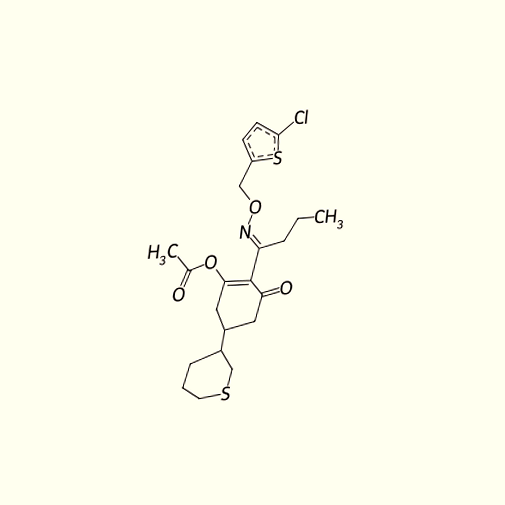 CCCC(=NOCc1ccc(Cl)s1)C1=C(OC(C)=O)CC(C2CCCSC2)CC1=O